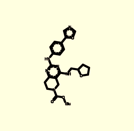 CC(C)(C)OC(=O)N1CCc2nc(Nc3ccc(-c4cnco4)cc3)nc(NCC3CCCO3)c2C1